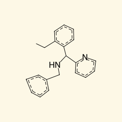 CCc1ccccc1C(NCc1ccccc1)c1ccccn1